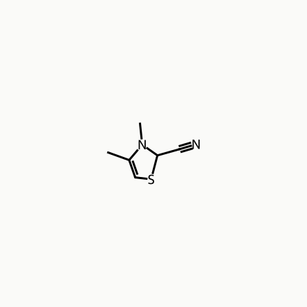 CC1=CSC(C#N)N1C